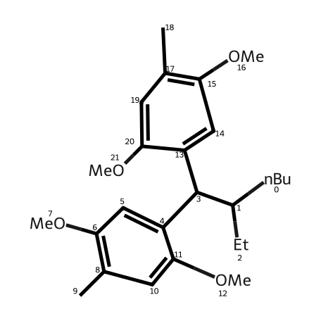 CCCCC(CC)C(c1cc(OC)c(C)cc1OC)c1cc(OC)c(C)cc1OC